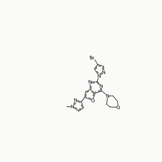 Cn1ccc(-c2cc3nc(-n4cc(Br)cn4)nc(N4CCOCC4)c3o2)n1